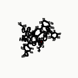 CCCCON(C(=O)c1ccccc1)c1c(-c2ccccc2)ccc(C(=O)C2(O)C(C(=O)OCC)=NNN2Cc2ccc(OC)cc2)c1[N+](=O)[O-]